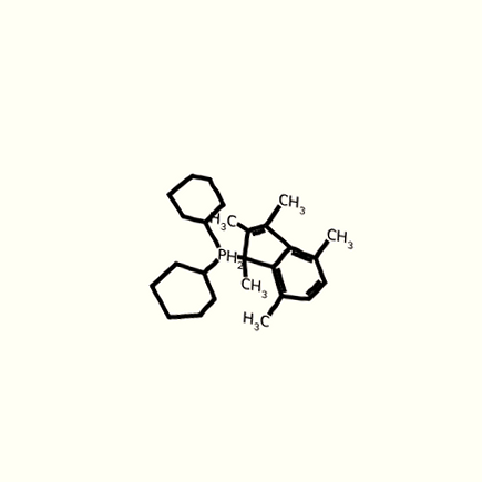 CC1=C(C)C(C)([PH2](C2CCCCC2)C2CCCCC2)c2c(C)ccc(C)c21